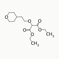 CCOC(=O)C(OCCC1CCOCC1)C(=O)OCC